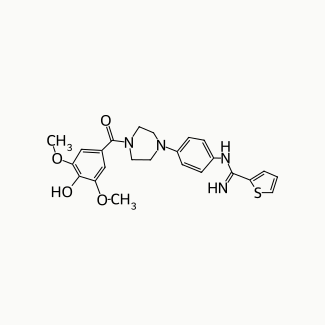 COc1cc(C(=O)N2CCN(c3ccc(NC(=N)c4cccs4)cc3)CC2)cc(OC)c1O